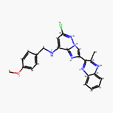 COc1ccc(CNc2cc(Cl)nn3cc(-c4nc5ccccc5nc4C)nc23)cc1